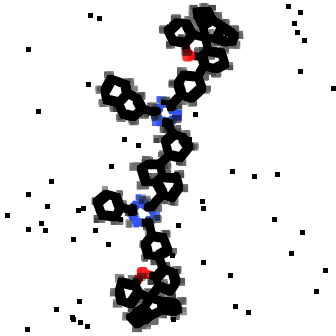 c1ccc(-c2nc(-c3ccc(-c4cccc5c4Oc4ccccc4C54c5ccccc5-c5ccccc54)cc3)nc(-c3cccc4c(-c5cccc(-c6nc(-c7ccc(-c8cccc9c8Oc8ccccc8C98c9ccccc9-c9ccccc98)cc7)nc(-c7ccc8ccccc8c7)n6)c5)cccc34)n2)cc1